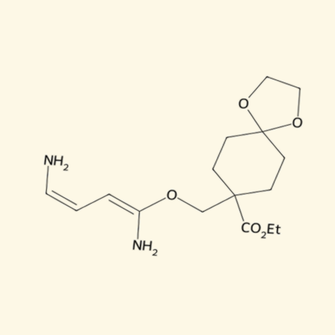 CCOC(=O)C1(CO/C(N)=C/C=C\N)CCC2(CC1)OCCO2